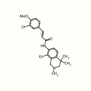 CCc1c(NC(=O)/C=C/c2ccc(OC)c(Cl)c2)ccc2c1CN(C)CC2(C)C